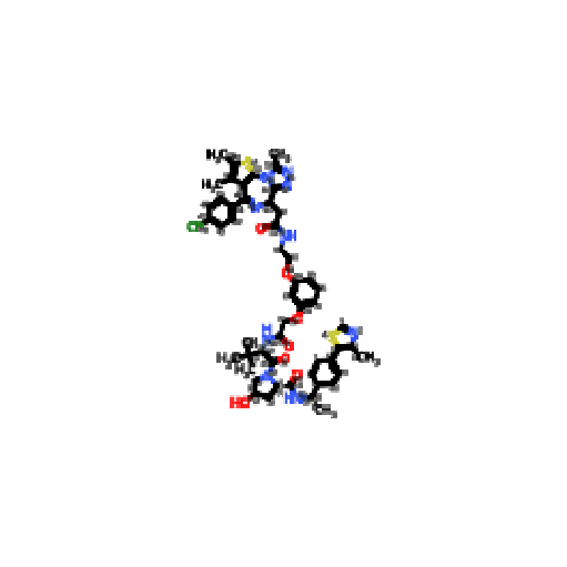 Cc1ncsc1-c1ccc([C@H](C)NC(=O)[C@@H]2C[C@@H](O)CN2C(=O)[C@@H](NC(=O)COc2cccc(OCCNC(=O)CC3N=C(c4ccc(Cl)cc4)c4c(sc(C)c4C)-n4c(C)nnc43)c2)C(C)(C)C)cc1